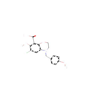 COc1ccc(CN2CCOc3c2cc(Cl)c(OC)c3C(=O)O)cc1